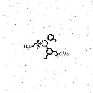 C=CCS(=O)(=O)N1CCCC(c2cc(Cl)cc(CC(=O)OC)c2)C1.Fc1ccccc1